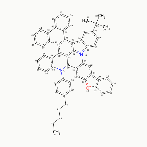 CCCCCc1ccc(N2B3c4cc5oc6ccccc6c5cc4-n4c5ccc(C(C)(C)C)cc5c5c(-c6ccccc6-c6ccccc6)cc(c3c54)-c3ccccc32)cc1